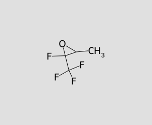 CC1OC1(F)C(F)(F)F